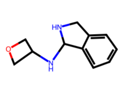 c1ccc2c(c1)CNC2NC1COC1